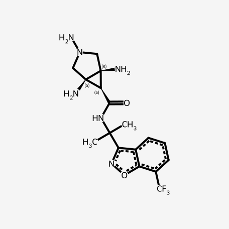 CC(C)(NC(=O)[C@H]1[C@]2(N)CN(N)C[C@]12N)c1noc2c(C(F)(F)F)cccc12